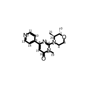 C[C@@H]1OCCN(c2nc(-c3ccncc3)cc(=O)n2C)[C@H]1C